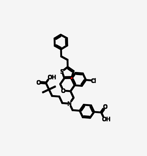 CC(C)(CCCN(Cc1ccc(C(=O)O)cc1)CC(OCc1ccc(CCc2ccccc2)s1)c1cccc(Cl)c1)C(=O)O